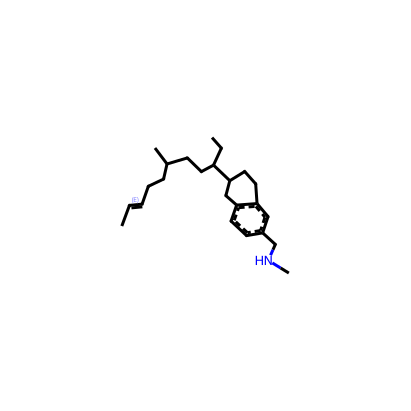 C/C=C/CCC(C)CCC(CC)C1CCc2cc(CNC)ccc2C1